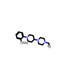 [2H]CN1CCN(C2CCN(c3ccccc3OC)CC2)CC1